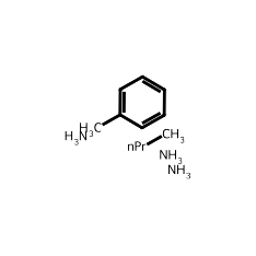 CCCC.Cc1ccccc1.N.N.N